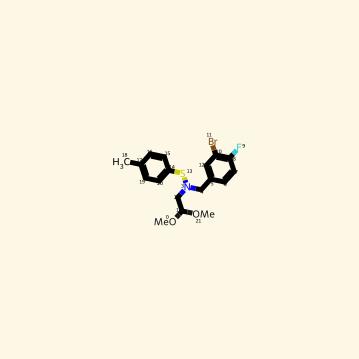 COC(CN(Cc1ccc(F)c(Br)c1)Sc1ccc(C)cc1)OC